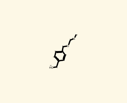 CSCOCc1ccc(CO)cc1